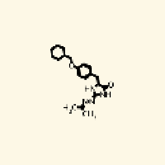 CC(C)=NN=C1NC(=O)C(Cc2ccc(OCC3CCCCC3)cc2)N1